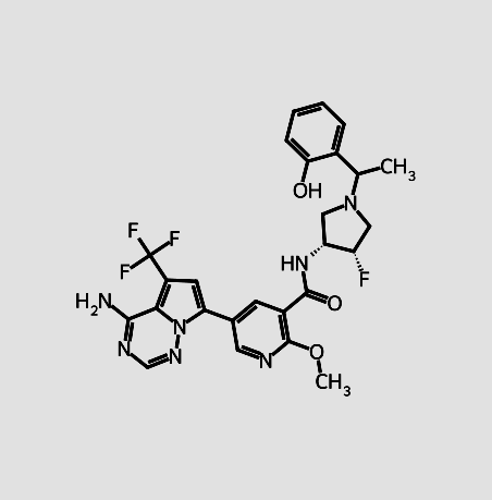 COc1ncc(-c2cc(C(F)(F)F)c3c(N)ncnn23)cc1C(=O)N[C@@H]1CN(C(C)c2ccccc2O)C[C@@H]1F